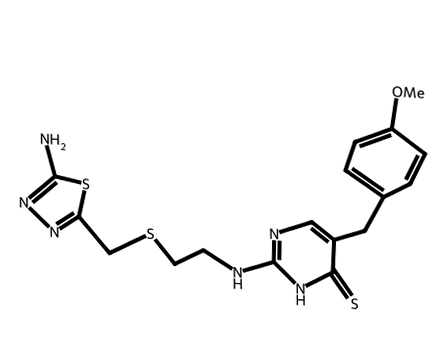 COc1ccc(Cc2cnc(NCCSCc3nnc(N)s3)[nH]c2=S)cc1